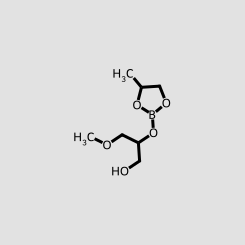 COCC(CO)OB1OCC(C)O1